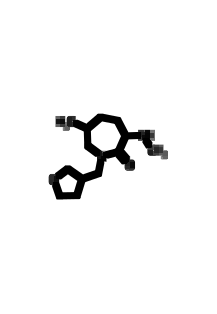 CNC1CCC(C)CN(CC2CCOC2)C1=O